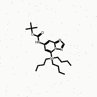 CCC[CH2][Sn]([CH2]CCC)([CH2]CCC)[c]1cc(NC(=O)OC(C)(C)C)cc2ncnn12